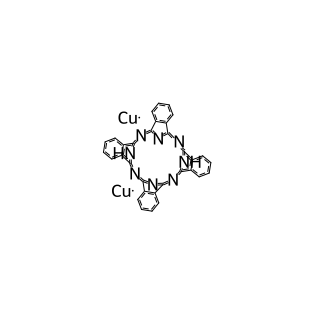 [Cu].[Cu].c1ccc2c(c1)-c1nc-2nc2[nH]c(nc3nc(nc4[nH]c(n1)c1ccccc41)-c1ccccc1-3)c1ccccc21